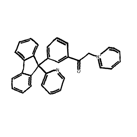 O=C(C[n+]1ccccc1)c1cccc(C2(c3ccccn3)c3ccccc3-c3ccccc32)c1